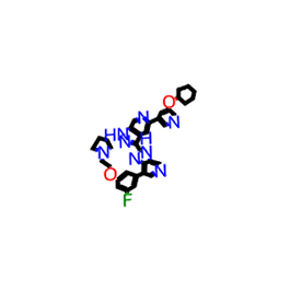 Fc1cc(OCCN2CCCC2)cc(-c2cncc3[nH]c(-c4n[nH]c5cnc(-c6cncc(OC7CCCCC7)c6)cc45)nc23)c1